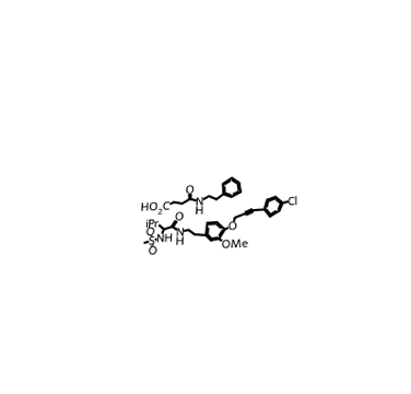 COc1cc(CCNC(=O)C(NS(C)(=O)=O)C(C)C)ccc1OCC#Cc1ccc(Cl)cc1.O=C(O)CCC(=O)NCCc1ccccc1